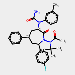 CC(=O)N(N1C(=O)[C@H](N(C(N)=O)c2cccc(C)c2)C[C@H](c2ccccc2)CC1c1ccc(F)cc1)C(C)(C)C